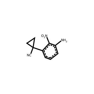 N#CC1(c2cccc(N)c2[N+](=O)[O-])CC1